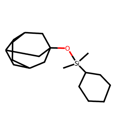 C[Si](C)(OC12CC3CCC(CC(C3)C1)C2)C1CCCCC1